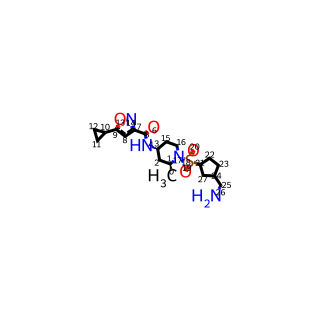 C[C@H]1C[C@@H](NC(=O)c2cc(C3CC3)on2)CCN1S(=O)(=O)C1CCC(CN)C1